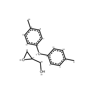 Cc1ccc(Oc2ccc(C)cc2)cc1.OCC1CO1